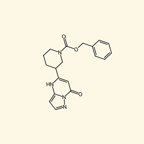 O=C(OCc1ccccc1)N1CCCC(c2cc(=O)n3nccc3[nH]2)C1